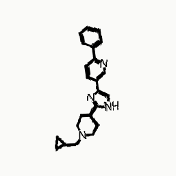 c1ccc(-c2ccc(-c3c[nH]c(C4CCN(CC5CC5)CC4)n3)cn2)cc1